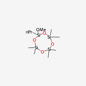 CCC[Si]1(OC)O[Si](C)(C)O[Si](C)(C)O[Si](C)(C)O1